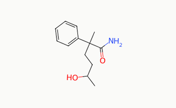 CC(O)CCC(C)(C(N)=O)c1ccccc1